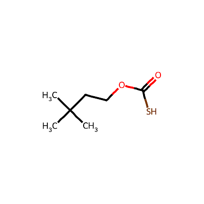 CC(C)(C)CCOC(=O)S